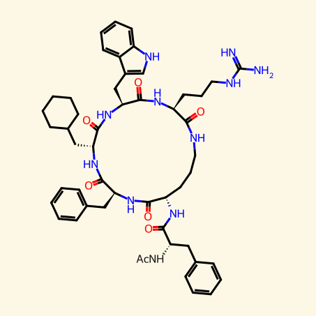 CC(=O)N[C@@H](Cc1ccccc1)C(=O)N[C@H]1CCCNC(=O)[C@H](CCCNC(=N)N)NC(=O)[C@H](Cc2c[nH]c3ccccc23)NC(=O)[C@@H](CC2CCCCC2)NC(=O)[C@H](Cc2ccccc2)NC1=O